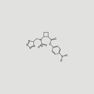 O=C(Oc1ccc([N+](=O)[O-])cc1)C1CCC1N(CC1N=NN=N1)[SH](=O)=O